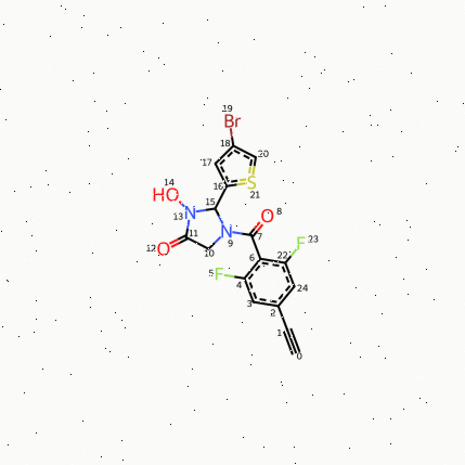 C#Cc1cc(F)c(C(=O)N2CC(=O)N(O)C2c2cc(Br)cs2)c(F)c1